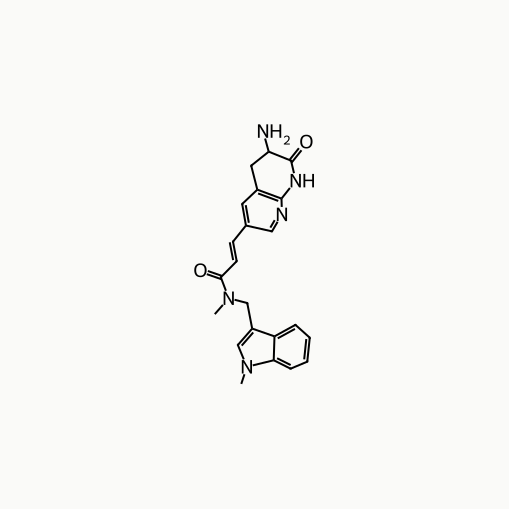 CN(Cc1cn(C)c2ccccc12)C(=O)/C=C/c1cnc2c(c1)CC(N)C(=O)N2